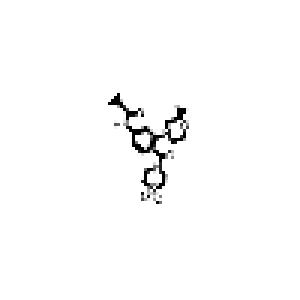 O=C(Nc1ccc(C(=O)N2CCS(=O)(=O)CC2)c(N2CCOC3(CC3)C2)c1)C1CC1